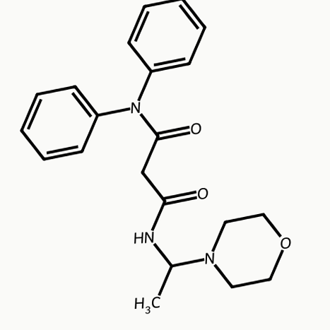 CC(NC(=O)CC(=O)N(c1ccccc1)c1ccccc1)N1CCOCC1